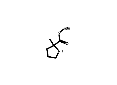 CCCCSC(=O)C1(C)CCCN1